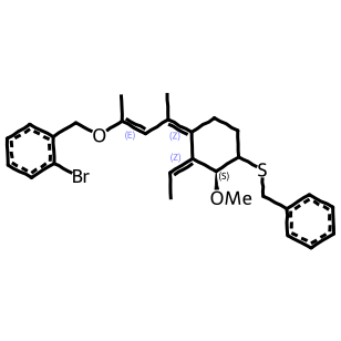 C/C=C1/C(=C(C)\C=C(/C)OCc2ccccc2Br)CCC(SCc2ccccc2)[C@H]1OC